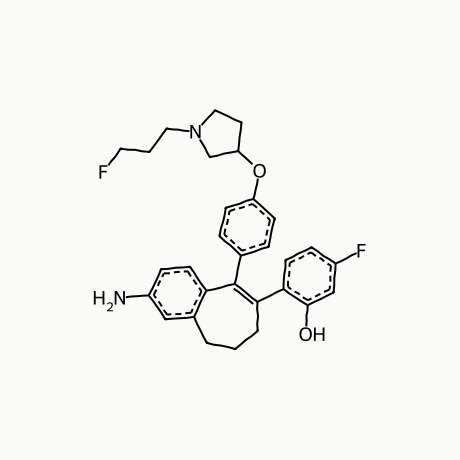 Nc1ccc2c(c1)CCCC(c1ccc(F)cc1O)=C2c1ccc(OC2CCN(CCCF)C2)cc1